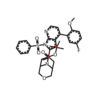 COc1ccc(F)cc1-c1ccnc2c1cc(C1=CC3COCC(C1)N3C(=O)OC(C)(C)C)n2S(=O)(=O)c1ccccc1